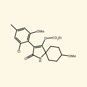 CCOC(=O)OC1=C(c2c(Cl)cc(C)cc2OC)C(=O)NC12CCC(OC)CC2